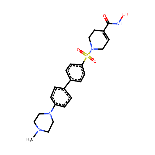 CN1CCN(c2ccc(-c3ccc(S(=O)(=O)N4CC=C(C(=O)NO)CC4)cc3)cc2)CC1